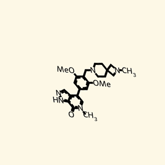 COc1cc(-c2cn(C)c(=O)c3[nH]ncc23)cc(OC)c1CN1CCC2(CC1)CN(C)C2